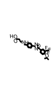 CC(C)Oc1ccc(-c2nc(-c3ccc(CNCCC(=O)O)cc3)no2)cc1C(F)(F)F